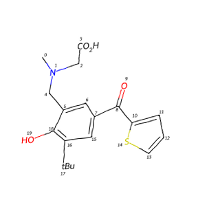 CN(CC(=O)O)Cc1cc(C(=O)c2cccs2)cc(C(C)(C)C)c1O